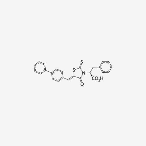 O=C(O)[C@H](Cc1ccccc1)N1C(=O)/C(=C/c2ccc(-c3ccccc3)cc2)SC1=S